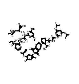 C#CC(C)Oc1cc(N2C(=O)C3=C(CCCC3)C2=O)c(F)cc1Cl.CCS(=O)(=O)c1cccnc1S(=O)(=O)NC(=O)Nc1nc(OC)cc(OC)n1.CP(=O)(O)CCC(N)C(=O)O.O=C(Nc1nc(OC(F)F)cc(OC(F)F)n1)NS(=O)(=O)c1ccccc1C(=O)O